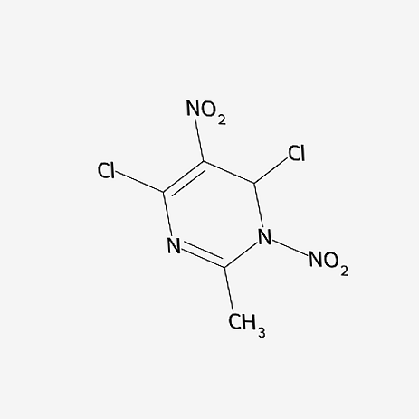 CC1=NC(Cl)=C([N+](=O)[O-])C(Cl)N1[N+](=O)[O-]